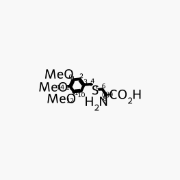 COc1cc(CSC[C@H](N)C(=O)O)cc(OC)c1OC